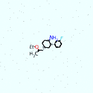 C=C(C[C@@H]1CC[C@@H](N)[C@H](c2cccc(F)c2)C1)OCC